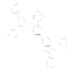 Brc1ccccc1Cn1c(-c2ccccc2)nc2cc(-c3ccc4c(c3)c3ccccc3n4-c3nc(-c4ccccc4)nc(-c4ccccc4)n3)ccc21